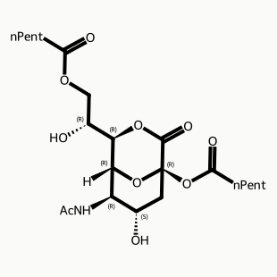 CCCCCC(=O)OC[C@@H](O)[C@H]1OC(=O)[C@]2(OC(=O)CCCCC)C[C@H](O)[C@@H](NC(C)=O)[C@H]1O2